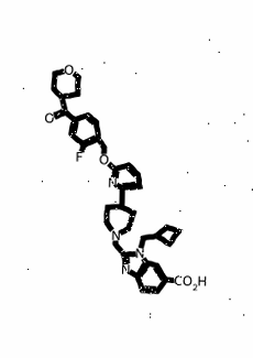 O=C(O)c1ccc2nc(CN3CCC(c4cccc(OCc5ccc(C(=O)C6CCOCC6)cc5F)n4)CC3)n(CC3CCC3)c2c1